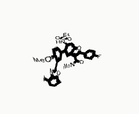 CCS(=O)(=O)Nc1cc2oc(-c3ccc(F)cc3)c(C(=O)NC)c2cc1-c1ccc(OC)c(-c2nc3c(I)cccc3o2)c1